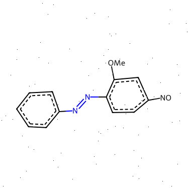 COc1cc(N=O)ccc1/N=N/c1ccccc1